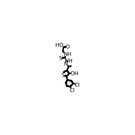 CC(=NNC(=S)NCC(=O)O)c1csc(-c2ccc(Cl)c(Cl)c2)c1O